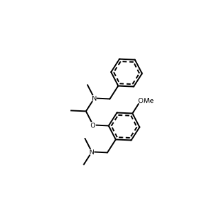 COc1ccc(CN(C)C)c(OC(C)N(C)Cc2ccccc2)c1